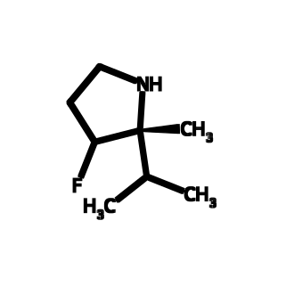 CC(C)[C@@]1(C)NCCC1F